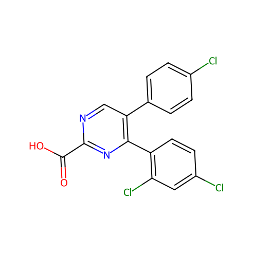 O=C(O)c1ncc(-c2ccc(Cl)cc2)c(-c2ccc(Cl)cc2Cl)n1